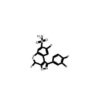 NS(=O)(=O)c1cc(F)c(-c2c(-c3ccc(F)c(F)c3)noc2C(F)F)cc1F